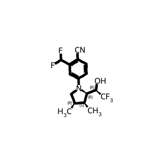 C[C@@H]1[C@H]([C@@H](O)C(F)(F)F)N(c2ccc(C#N)c(C(F)F)c2)C[C@@H]1C